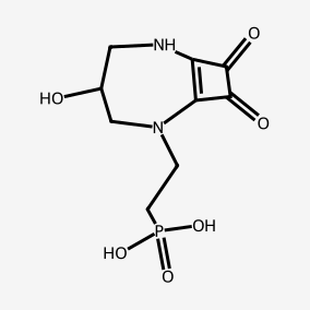 O=c1c2c(c1=O)N(CCP(=O)(O)O)CC(O)CN2